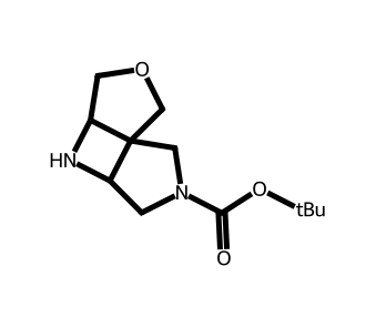 CC(C)(C)OC(=O)N1CC2NC3COCC32C1